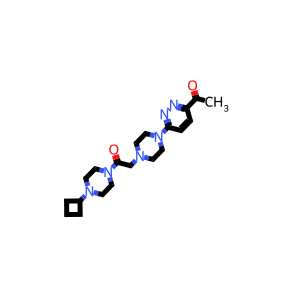 CC(=O)c1ccc(N2CCN(CC(=O)N3CCN(C4CCC4)CC3)CC2)nn1